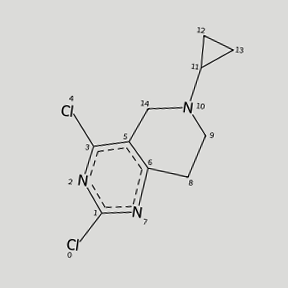 Clc1nc(Cl)c2c(n1)CCN(C1CC1)C2